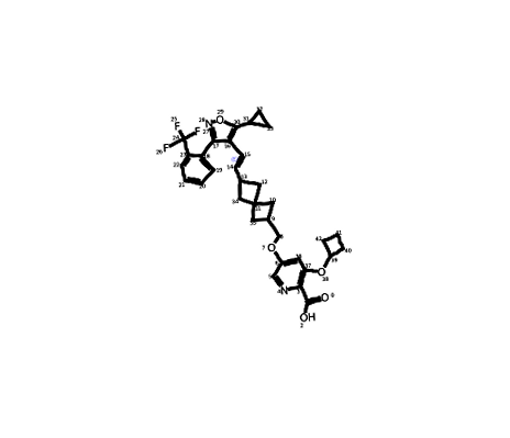 O=C(O)c1ncc(OCC2CC3(CC(/C=C/c4c(-c5ccccc5C(F)(F)F)noc4C4CC4)C3)C2)cc1OC1CCC1